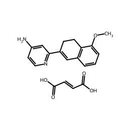 COc1cccc2c1CCC(c1cc(N)ccn1)=C2.O=C(O)/C=C/C(=O)O